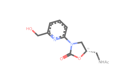 CC(=O)NC[C@H]1CN(c2cccc(CO)n2)C(=O)O1